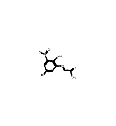 Nc1c(OCC(=O)O)cc(Br)cc1[N+](=O)[O-]